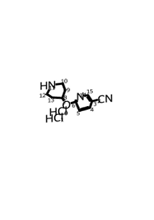 Cl.Cl.N#Cc1ccc(OC2CCNCC2)nc1